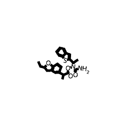 CCC1Cc2cc(C(C)C(=O)ON(C(N)=O)C(C)c3cc4ccccc4s3)ccc2O1